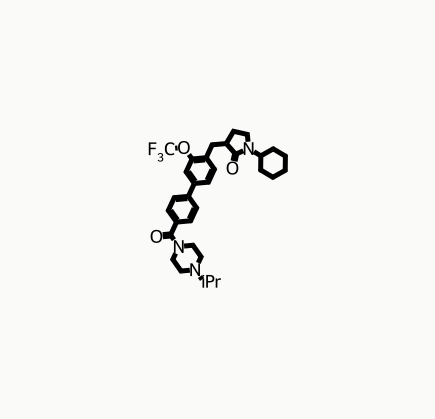 CC(C)N1CCN(C(=O)c2ccc(-c3ccc(CC4CCN(C5CCCCC5)C4=O)c(OC(F)(F)F)c3)cc2)CC1